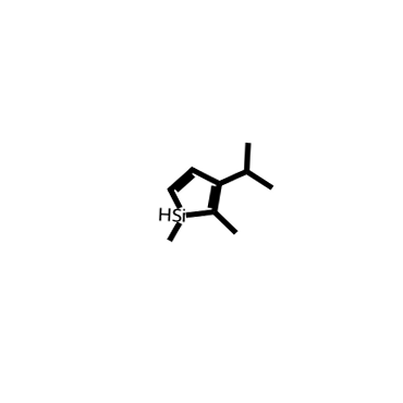 CC1=C(C(C)C)C=C[SiH]1C